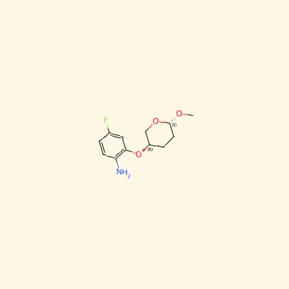 CO[C@@H]1CC[C@@H](Oc2cc(F)ccc2N)CO1